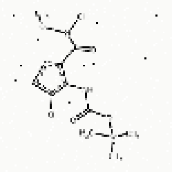 CON(C)C(=O)c1scc(Cl)c1NC(=O)OC(C)(C)C